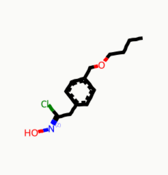 CCCCOCc1ccc(C/C(Cl)=N/O)cc1